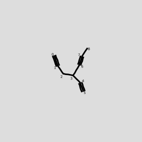 C#CCC(C#C)C#CC